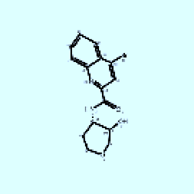 O=C(N[C@H]1CCOC[C@@H]1O)c1cc(Br)c2ccccc2n1